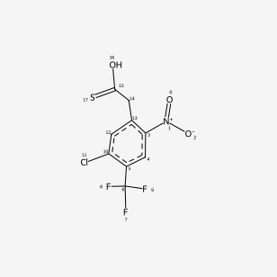 O=[N+]([O-])c1cc(C(F)(F)F)c(Cl)cc1CC(O)=S